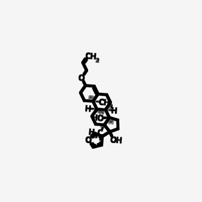 C=CCOC1C=C2CC[C@@H]3[C@@H](CC[C@]4(C)C(O)(c5ccoc5)CC[C@@]34O)[C@@]2(C)CC1